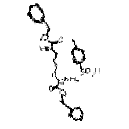 Cc1ccc(S(=O)(=O)O)cc1.N[C@@H](OCCCNC(=O)OCc1ccccc1)C(=O)OCc1ccccc1